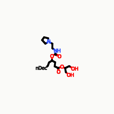 CCCCCCCCCCCCC(CCC(=O)OC(CO)CO)OC(=O)NCCN1CCCC1